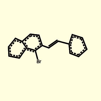 Brc1c(/C=C/c2ccccc2)ccc2ccccc12